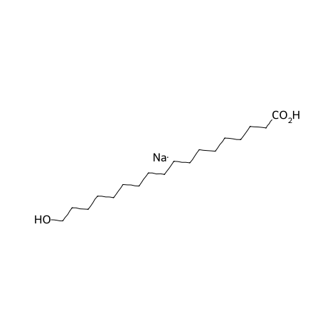 O=C(O)CCCCCCCCCCCCCCCCCO.[Na]